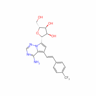 Nc1ncnn2c([C@@H]3O[C@H](CO)[C@@H](O)[C@H]3O)cc(/C=C/c3ccc(C(F)(F)F)cc3)c12